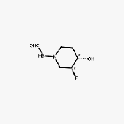 O=CBN1CC[C@H](O)[C@@H](F)C1